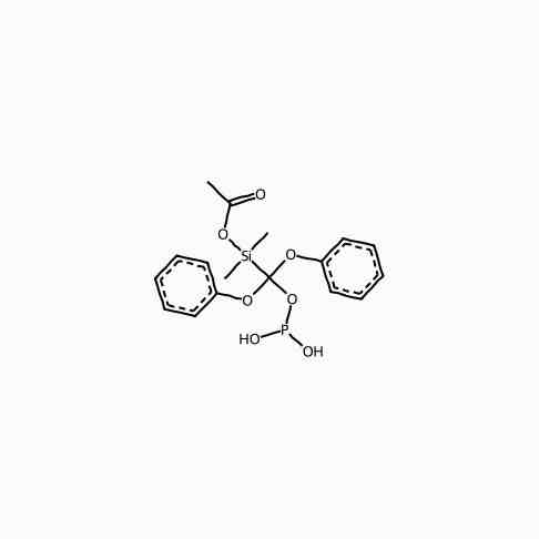 CC(=O)O[Si](C)(C)C(Oc1ccccc1)(Oc1ccccc1)OP(O)O